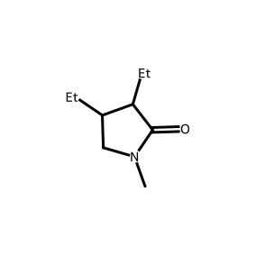 CCC1CN(C)C(=O)C1CC